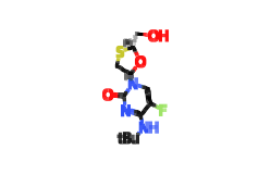 CC(C)(C)Nc1nc(=O)n([C@@H]2CS[C@H](CO)O2)cc1F